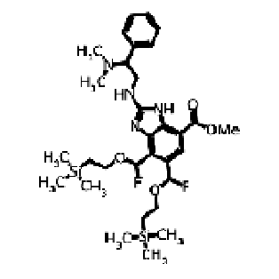 COC(=O)c1cc(C(F)OCC[Si](C)(C)C)c(C(F)OCC[Si](C)(C)C)c2nc(NCC(c3ccccc3)N(C)C)[nH]c12